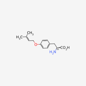 CC(C)=CCOc1ccc(C[C@H](N)C(=O)O)cc1